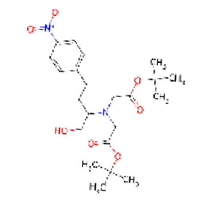 CC(C)(C)OC(=O)CN(CC(=O)OC(C)(C)C)C(CO)CCc1ccc([N+](=O)[O-])cc1